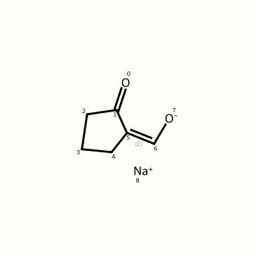 O=C1CCC/C1=C/[O-].[Na+]